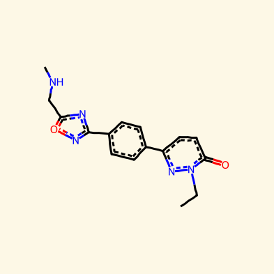 CCn1nc(-c2ccc(-c3noc(CNC)n3)cc2)ccc1=O